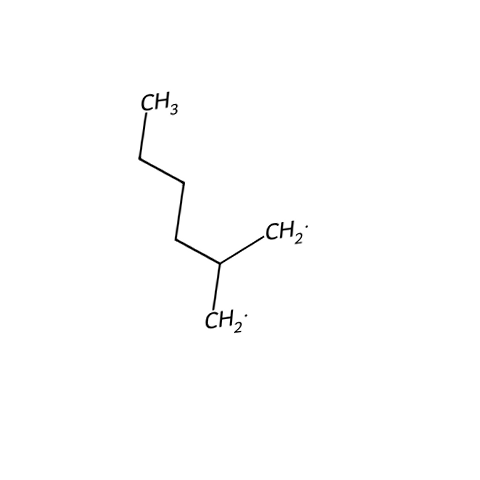 [CH2]C([CH2])CCCC